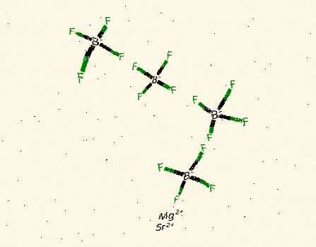 F[B-](F)(F)F.F[B-](F)(F)F.F[B-](F)(F)F.F[B-](F)(F)F.[Mg+2].[Sr+2]